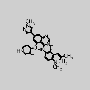 C=Nc1ccc(Nc2ncnc3cc(-c4cnn(C)c4)cc(OC4CCNCC4F)c23)c(F)c1C=C(C)C